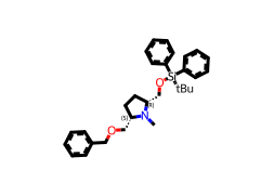 CN1[C@@H](CO[Si](c2ccccc2)(c2ccccc2)C(C)(C)C)CC[C@H]1COCc1ccccc1